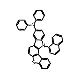 c1ccc(N(c2ccccc2)c2ccc3c(c2)c2ccc4sc5ccccc5c4c2n3-c2cccc3ccccc23)cc1